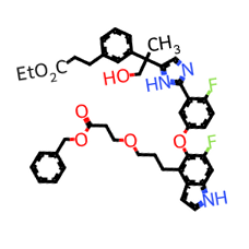 CCOC(=O)CCc1cccc(C(C)(CO)c2cnc(-c3cc(Oc4c(F)cc5[nH]ccc5c4CCCOCCC(=O)OCc4ccccc4)ccc3F)[nH]2)c1